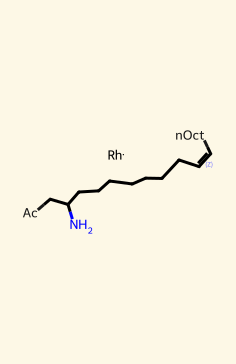 CCCCCCCC/C=C\CCCCCCCC(N)CC(C)=O.[Rh]